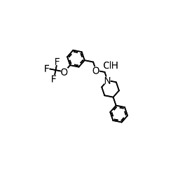 Cl.FC(F)(F)Oc1cccc(COCN2CCC(c3ccccc3)CC2)c1